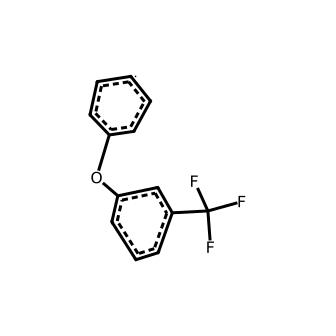 FC(F)(F)c1cccc(Oc2cc[c]cc2)c1